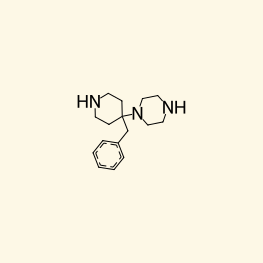 c1ccc(CC2(N3CCNCC3)CCNCC2)cc1